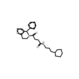 O=C(CCC(=O)N1CCc2sccc2C1c1ccccc1)NCCCC1CCCCC1